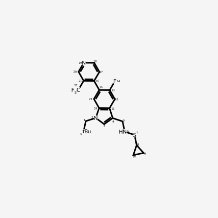 CC(C)(C)Cn1cc(CNSC2CC2)c2cc(F)c(-c3ccncc3C(F)(F)F)cc21